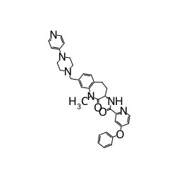 CN1C(=O)[C@H](NC(=O)c2cc(Oc3ccccc3)ccn2)CCc2ccc(CN3CCN(c4ccncc4)CC3)cc21